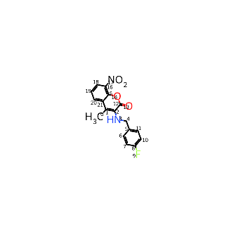 Cc1c(NCc2ccc(F)cc2)c(=O)oc2c([N+](=O)[O-])cccc12